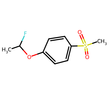 CC(F)Oc1ccc(S(C)(=O)=O)cc1